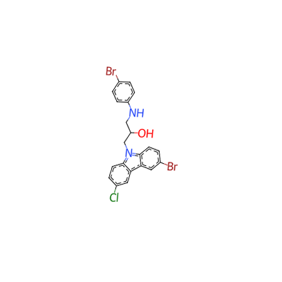 OC(CNc1ccc(Br)cc1)Cn1c2ccc(Cl)cc2c2cc(Br)ccc21